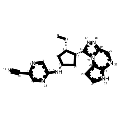 CC[C@H]1C[C@@H](Nc2cnc(C#N)cn2)C[C@H]1c1nnc2cnc3[nH]ccc3n12